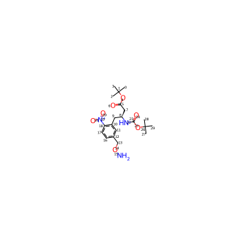 CC(C)(C)OC(=O)C[C@H](Cc1cc(CON)ccc1[N+](=O)[O-])NC(=O)OC(C)(C)C